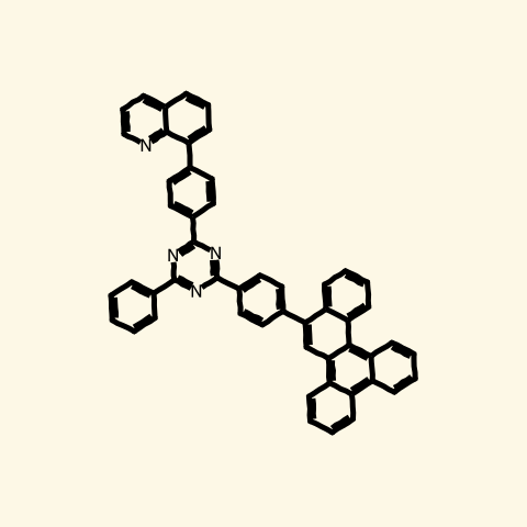 c1ccc(-c2nc(-c3ccc(-c4cc5c6ccccc6c6ccccc6c5c5ccccc45)cc3)nc(-c3ccc(-c4cccc5cccnc45)cc3)n2)cc1